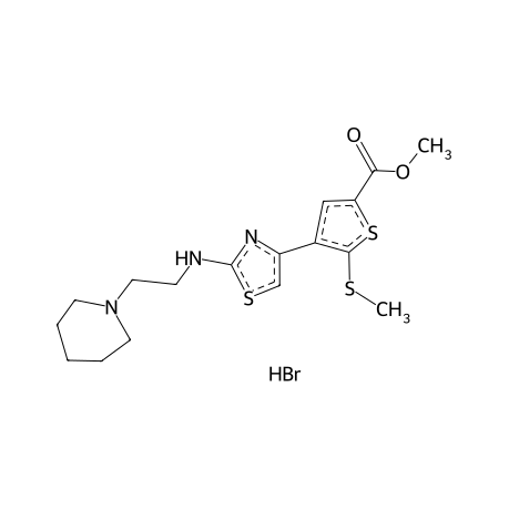 Br.COC(=O)c1cc(-c2csc(NCCN3CCCCC3)n2)c(SC)s1